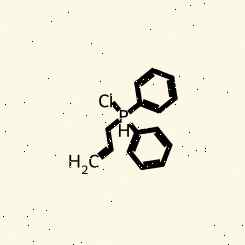 C=CC[PH](Cl)(c1ccccc1)c1ccccc1